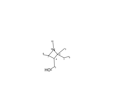 CCC1(C)C(CO)C(C)N1C